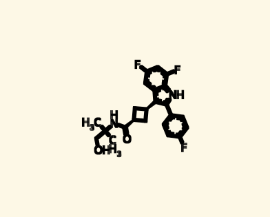 CC(C)(CO)NC(=O)[C@H]1C[C@@H](c2c(-c3ccc(F)cc3)[nH]c3c(F)cc(F)cc32)C1